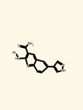 CC(C)Nc1nc2ccc(-c3cn[nH]c3)cc2cc1C(N)=O